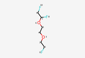 FCCOCCOC(F)CF